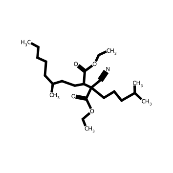 CCCCCC(C)CCC(C(=O)OCC)C(C#N)(CCCC(C)C)C(=O)OCC